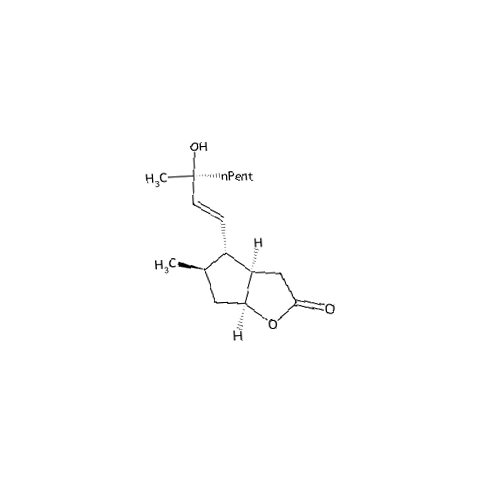 CCCCC[C@](C)(O)/C=C/[C@@H]1[C@H]2CC(=O)O[C@H]2C[C@H]1C